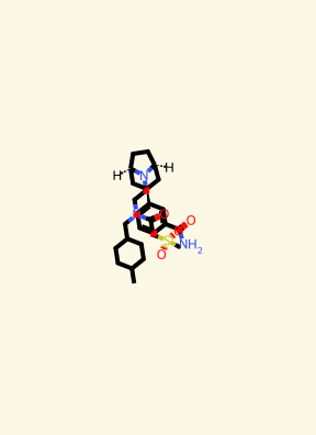 CC1CCC(CN(CCN2[C@@H]3CC[C@H]2C[C@@H](c2cccc(C(N)=O)c2)C3)C(=O)CS(C)(=O)=O)CC1